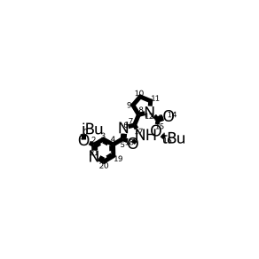 CCC(C)Oc1cc(C2=NC(C3CCCN3C(=O)OC(C)(C)C)NO2)ccn1